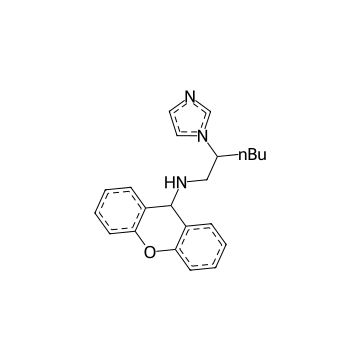 CCCCC(CNC1c2ccccc2Oc2ccccc21)n1ccnc1